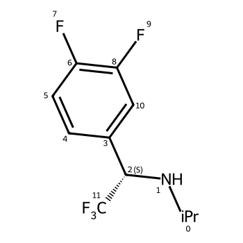 CC(C)N[C@@H](c1ccc(F)c(F)c1)C(F)(F)F